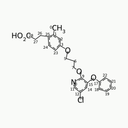 Cc1cc(OCCCOc2ncc(Cl)cc2Oc2ccccc2)ccc1CCC(=O)O